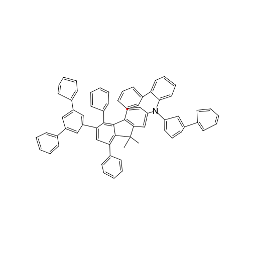 CC1(C)c2cc(N(c3cccc(-c4ccccc4)c3)c3ccccc3-c3ccccc3)ccc2-c2c(-c3ccccc3)c(-c3cc(-c4ccccc4)cc(-c4ccccc4)c3)cc(-c3ccccc3)c21